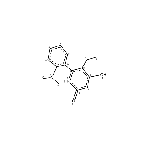 CCc1c(O)cc(=O)[nH]c1-c1ccccc1N(C)C